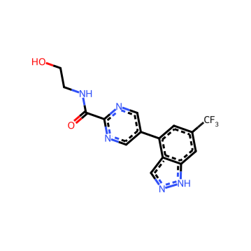 O=C(NCCO)c1ncc(-c2cc(C(F)(F)F)cc3[nH]ncc23)cn1